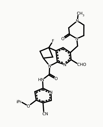 CC(C)Oc1cc(NC(=O)N2c3nc(C=O)c(CN4CCN(C)CC4=O)cc3C3(F)CC2C3)ncc1C#N